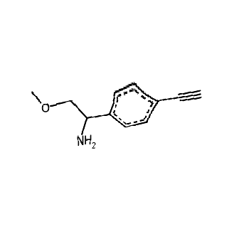 C#Cc1ccc(C(N)COC)cc1